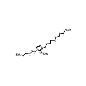 CCCCCCCCCCCCCCCCCCC[n+]1ccn(CCCCCCCCCCCCCCC)c1CCCCCCCCCC